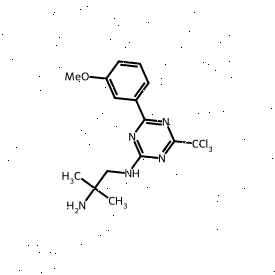 COc1cccc(-c2nc(NCC(C)(C)N)nc(C(Cl)(Cl)Cl)n2)c1